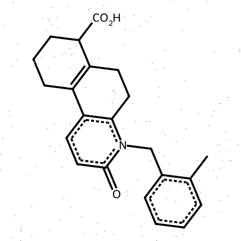 Cc1ccccc1Cn1c2c(ccc1=O)C1=C(CC2)C(C(=O)O)CCC1